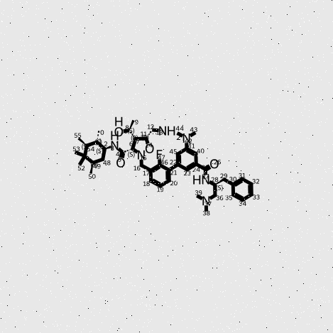 C[C@@H]1[C@@H](NC(=O)[C@@H]2[C@H]([C@H](C)O)[C@H](CN)ON2Cc2cccc(-c3cc(C(=O)N[C@@H](Cc4ccccc4)CN(C)C)cc(N(C)C)c3)c2F)C[C@@H](C)C(C)(C)[C@H]1C